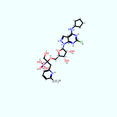 O=C(O)c1cccc(CC(CO)(OC[C@H]2O[C@@H](n3ncc4c(NC5CCCC5)nc(Cl)nc43)[C@H](O)[C@@H]2O)P(=O)(O)O)n1